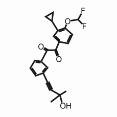 CC(C)(O)C#Cc1cccc(C(=O)C(=O)c2ccc(OC(F)F)c(C3CC3)c2)c1